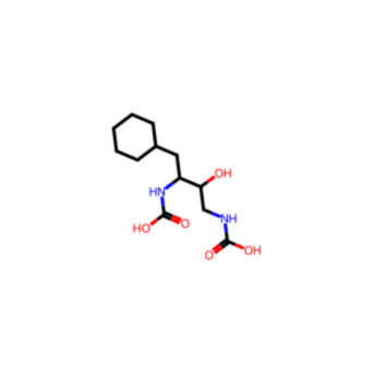 O=C(O)NCC(O)C(CC1CCCCC1)NC(=O)O